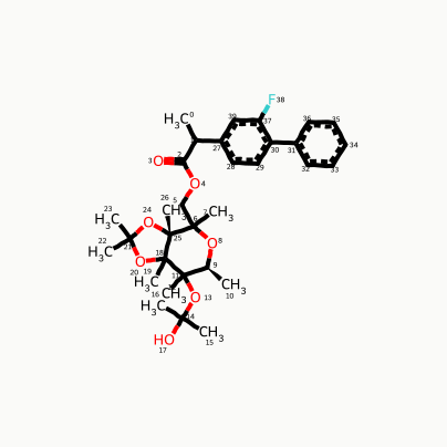 CC(C(=O)OCC1(C)O[C@@H](C)C(C)(OC(C)(C)O)C2(C)OC(C)(C)O[C@]12C)c1ccc(-c2ccccc2)c(F)c1